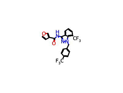 O=C(Nc1nn(Cc2ccc(C(F)(F)F)cc2)c2c(C(F)(F)F)cccc12)c1ccoc1